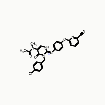 CC(=O)N(C)c1c[nH]/c(=N\c2ccc(Oc3cccc(C#N)n3)cc2)n(Cc2ccc(Cl)cc2)c1=O